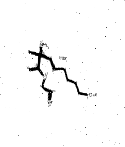 Br.CCCCCCCCCCCCCCCCC(C)(N)C(C)OCCBr